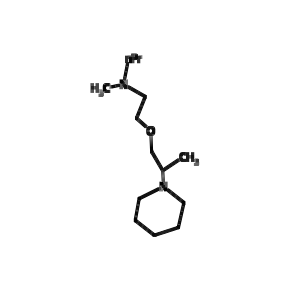 CCCN(C)CCOCC(C)N1CCCCC1